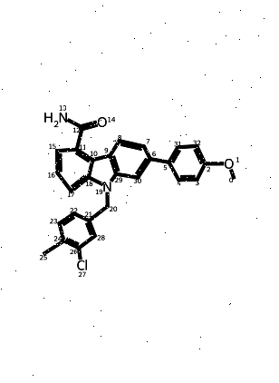 COc1ccc(-c2c[c]c3c4c(C(N)=O)cccc4n(Cc4ccc(C)c(Cl)c4)c3c2)cc1